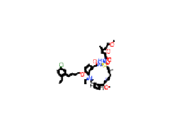 CCc1ccc(Cl)cc1CCCCOc1ccc2cc1N(CC)C[C@@H]1CC[C@H]1[C@@H](OC)/C=C/C[C@H](C)CS(=O)(NC(=O)c1cc(C)c(COC)o1)=NC2=O